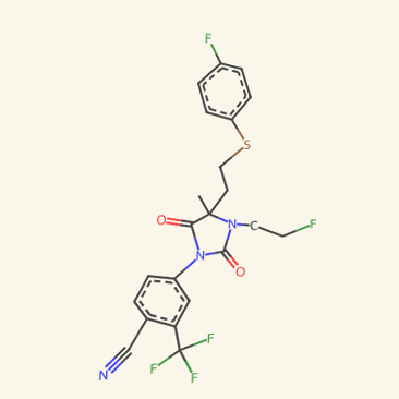 CC1(CCSc2ccc(F)cc2)C(=O)N(c2ccc(C#N)c(C(F)(F)F)c2)C(=O)N1CCF